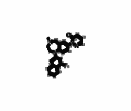 CN1CCN(c2cc(F)c3ccccc3c2)c2ccc(-n3ncccc3=O)cc2C1